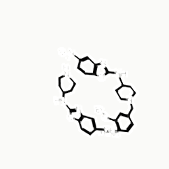 CCOc1cc(CN2CCC(Nc3nc4cc([N+](=O)[O-])ccc4o3)CC2)ccc1OC.O=[N+]([O-])c1ccc2oc(NC3CCNCC3)nc2c1